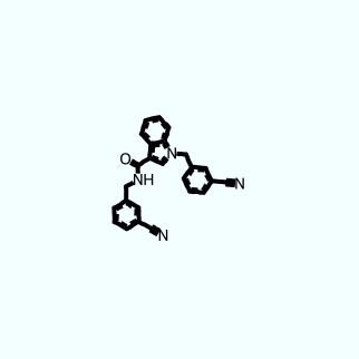 N#Cc1cccc(CNC(=O)c2cn(Cc3cccc(C#N)c3)c3ccccc23)c1